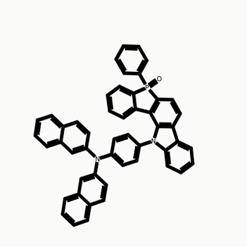 O=P1(c2ccccc2)c2ccccc2-c2c1ccc1c3ccccc3n(-c3ccc(N(c4ccc5ccccc5c4)c4ccc5ccccc5c4)cc3)c21